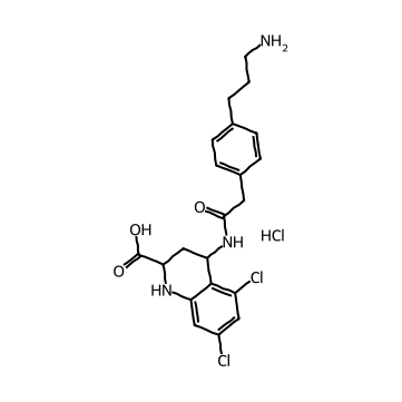 Cl.NCCCc1ccc(CC(=O)NC2CC(C(=O)O)Nc3cc(Cl)cc(Cl)c32)cc1